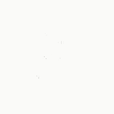 CC(CS)C(=O)Nc1cccnc1.c1ccccc1